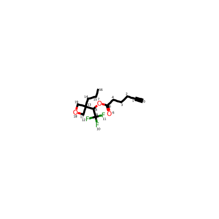 C#CCCCC(=O)OC(C(F)(F)F)C1(CCC)COC1